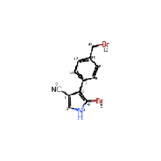 N#Cc1c[nH]c(Br)c1-c1ccc(CBr)cc1